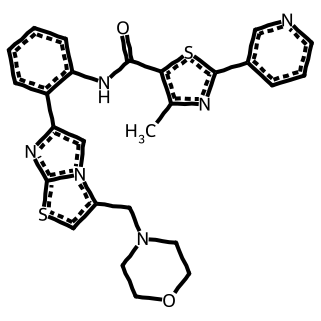 Cc1nc(-c2cccnc2)sc1C(=O)Nc1ccccc1-c1cn2c(CN3CCOCC3)csc2n1